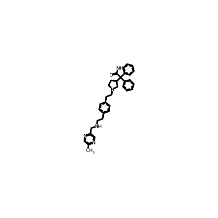 Cc1cnc(CNCCc2ccc(CCN3CCC(C(C(N)=O)(c4ccccc4)c4ccccc4)C3)cc2)cn1